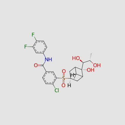 C[C@H](O)[C@H](O)[C@]1(O)C2C[C@H](S(=O)(=O)c3cc(C(=O)Nc4ccc(F)c(F)c4)ccc3Cl)CC1[C@@H]2C